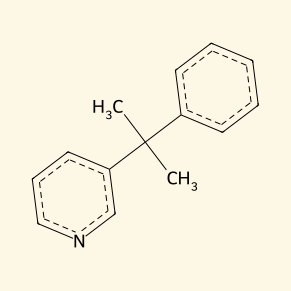 CC(C)(c1ccccc1)c1cccnc1